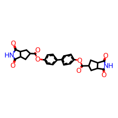 O=C(Oc1ccc(-c2ccc(OC(=O)C3CC4C(=O)NC(=O)C4C3)cc2)cc1)C1CC2C(=O)NC(=O)C2C1